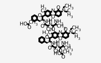 CC(=O)O.CC(=O)O.CCN(CC)c1ccc2oc3cc(C(=O)[C@H](Cc4ccccc4)NC(=O)[C@H](C)NC(=O)[C@H](C)N)c(C)cc3nc-2c1=O.CCN(CC)c1ccc2oc3cc(C(=O)[C@H](Cc4ccccc4)NC(=O)[C@H](C)NC(=O)[C@H](C)N)c(C)cc3nc-2c1=O